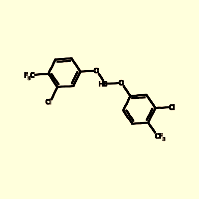 FC(F)(F)c1ccc(OBOc2ccc(C(F)(F)F)c(Cl)c2)cc1Cl